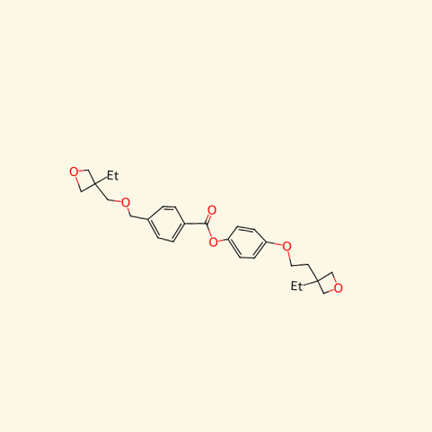 CCC1(CCOc2ccc(OC(=O)c3ccc(COCC4(CC)COC4)cc3)cc2)COC1